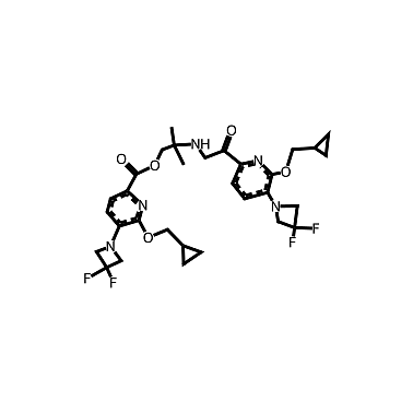 CC(C)(COC(=O)c1ccc(N2CC(F)(F)C2)c(OCC2CC2)n1)NCC(=O)c1ccc(N2CC(F)(F)C2)c(OCC2CC2)n1